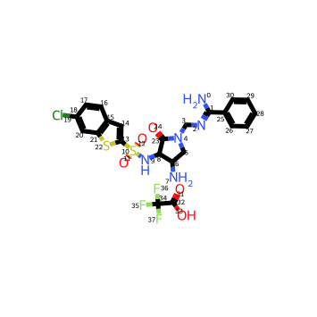 NC(=NCN1CC(N)C(NS(=O)(=O)c2cc3ccc(Cl)cc3s2)C1=O)c1ccccc1.O=C(O)C(F)(F)F